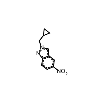 O=[N+]([O-])c1ccc2nn(CC3CC3)cc2c1